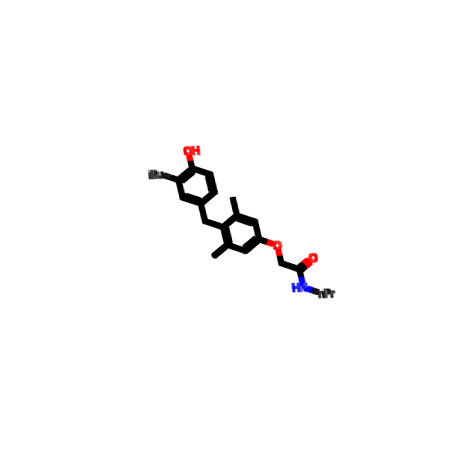 CCCNC(=O)COc1cc(C)c(Cc2ccc(O)c(C(C)CC)c2)c(C)c1